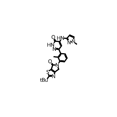 Cc1c(-c2cc(Nc3ccn(C)n3)c(=O)[nH]n2)cccc1N1Cc2nc(C(C)(C)C)sc2C1=O